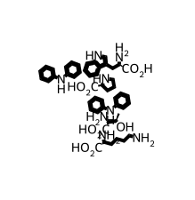 C[C@@H](O)[C@H](N)C(=O)O.NCCCC[C@H](N)C(=O)O.N[C@@H](Cc1c[nH]c2ccccc12)C(=O)O.O=C(O)[C@@H]1CCCN1.c1ccc(Nc2ccccc2)cc1.c1ccc(Nc2ccccc2)cc1